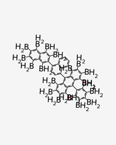 Bc1c(B)c(B)c(-c2c3c(B)c(B)c(B)c(B)c3c(-c3ccc(-c4c(B)c(B)c5c(B)c(B)c(B)c(B)c5c4B)c4ccccc34)c3c(B)c(B)c(B)c(B)c23)c(B)c1B